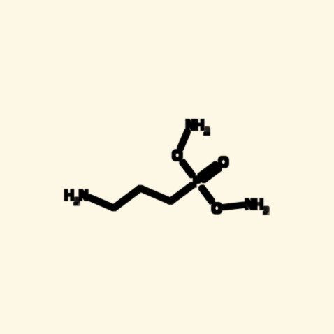 NCCCP(=O)(ON)ON